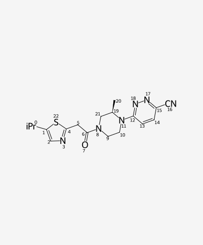 CC(C)c1cnc(CC(=O)N2CCN(c3ccc(C#N)nn3)[C@H](C)C2)s1